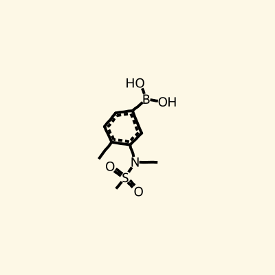 Cc1ccc(B(O)O)cc1N(C)S(C)(=O)=O